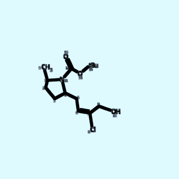 CC1CCC(C/C=C(/Cl)CO)N1C(=O)OC(C)(C)C